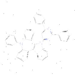 c1ccc(-c2cc(-n3c4c(c5ccccc53)-c3ccccc3N(c3ccccc3)c3ccccc3-4)nc(-c3ccccc3)n2)cc1